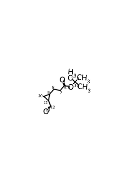 CC(C)(C)OC(=O)CCC1CC1C=O